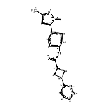 Cn1nc(C(F)(F)F)cc1-c1ccc(NC(=O)C2CN(c3cccnn3)C2)cc1